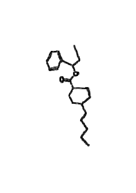 CCCCCC1CCC(C(=O)OC(CC)c2ccccc2)CC1